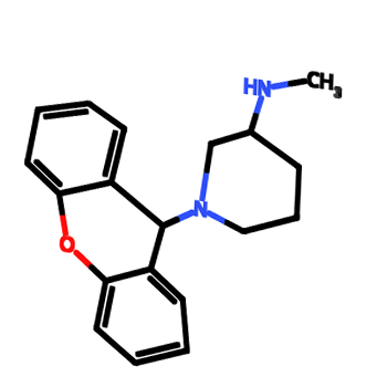 CNC1CCCN(C2c3ccccc3Oc3ccccc32)C1